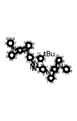 CC(C)(C)c1ccc(-n2c(-c3ccc(-n4c5ccccc5c5cc6c(cc54)c4ccccc4n6-c4ccccc4)cc3)nnc2-c2ccc(-n3c4ccccc4c4cc5c(cc43)c3ccccc3n5-c3ccccc3)cc2)cc1